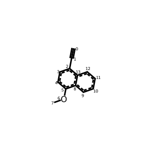 C#Cc1ccc(OC)c2ccccc12